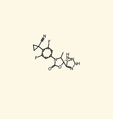 CC1N(c2cc(F)c(C3(C#N)CC3)c(F)c2)C(=O)O[C@@]12NN1NN=C2S1